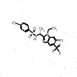 CCn1c([C@@H](C)NS(=O)(=O)c2ccc(Cl)cc2)nc2cc(C(F)(F)F)c(Cl)cc21